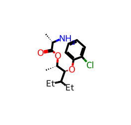 CCC(CC)[C@@H](Oc1ccccc1Cl)[C@H](C)OC(=O)[C@H](C)N